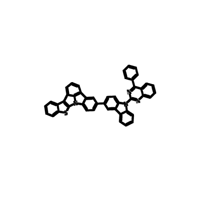 c1ccc(-c2nc(-n3c4ccccc4c4cc(-c5ccc6c(c5)c5cccc7c8c9ccccc9sc8n6c57)ccc43)nc3ccccc23)cc1